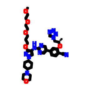 COCCOCCOCCCOc1nn([C@H]2CC[C@H](N3CCOCC3)CC2)cc1Nc1ncc(-c2ccc(C#N)c(O[C@@H](C)Cn3cnnn3)c2)cn1